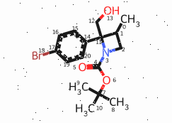 CC1CN(C(=O)OC(C)(C)C)C1(CO)c1ccc(Br)cc1